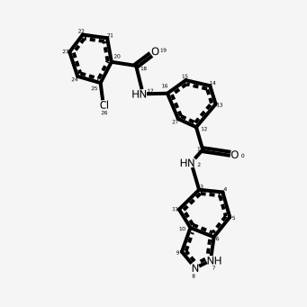 O=C(Nc1ccc2[nH]ncc2c1)c1cccc(NC(=O)c2ccccc2Cl)c1